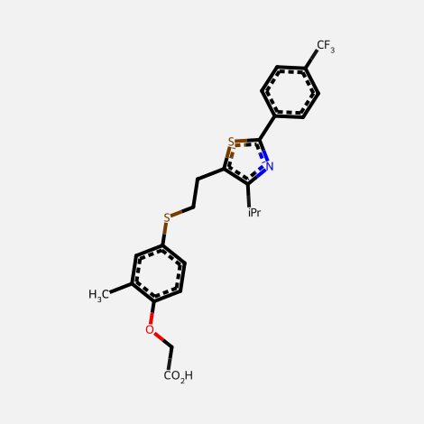 Cc1cc(SCCc2sc(-c3ccc(C(F)(F)F)cc3)nc2C(C)C)ccc1OCC(=O)O